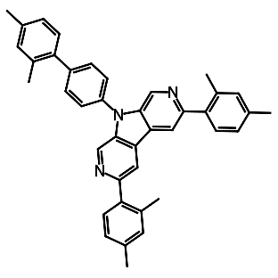 Cc1ccc(-c2ccc(-n3c4cnc(-c5ccc(C)cc5C)cc4c4cc(-c5ccc(C)cc5C)ncc43)cc2)c(C)c1